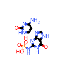 Nc1cc[nH]c(=O)n1.O=c1[nH]c(NP(=O)(O)O)nc2nc[nH]c12